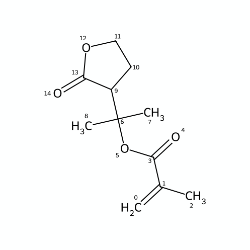 C=C(C)C(=O)OC(C)(C)C1CCOC1=O